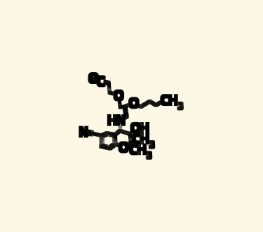 CCCCO/C(=C/N[C@H]1c2cc(C#N)ccc2OC(C)(C)[C@@H]1O)COCC=C=O